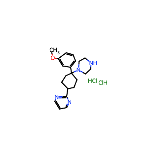 COc1cccc(C2(N3CCNCC3)CCC(c3ncccn3)CC2)c1.Cl.Cl